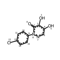 O=c1c(O)c(O)cnn1-c1ccc(Cl)cc1